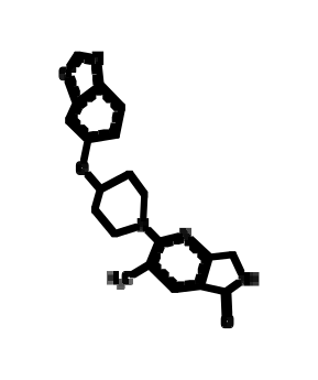 Cc1cc2c(nc1N1CCC(Oc3ccc4ncoc4c3)CC1)CNC2=O